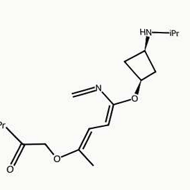 C=N/C(=C\C=C(/C)OCC(=O)C(C)C)O[C@H]1C[C@@H](NC(C)C)C1